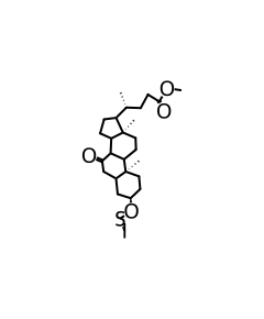 COC(=O)CC[C@@H](C)C1CCC2C3C(=O)CC4C[C@H](OSI)CC[C@]4(C)C3CC[C@@]21C